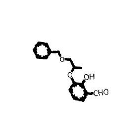 CC(COCc1ccccc1)Oc1cccc(C=O)c1O